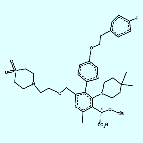 Cc1nc(COCCN2CCS(=O)(=O)CC2)c(-c2ccc(OCCc3ccc(F)cc3)cc2)c(N2CCC(C)(C)CC2)c1[C@H](OC(C)(C)C)C(=O)O